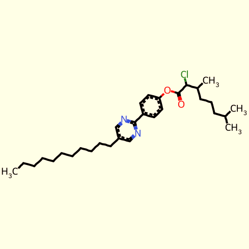 CCCCCCCCCCCc1cnc(-c2ccc(OC(=O)C(Cl)C(C)CCCC(C)C)cc2)nc1